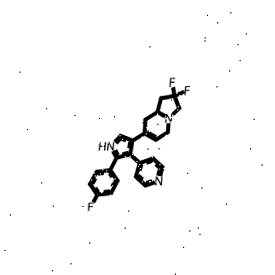 Fc1ccc(-c2[nH]cc(C3=CCN4CC(F)(F)CC4C3)c2-c2ccncc2)cc1